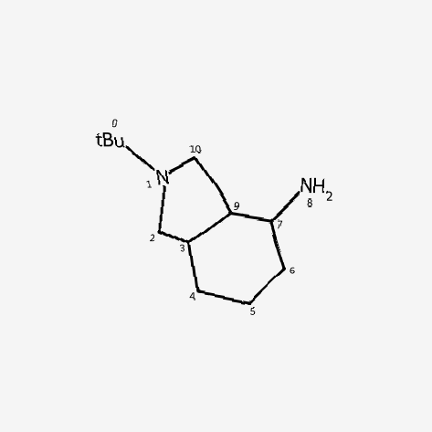 CC(C)(C)N1CC2CCCC(N)C2C1